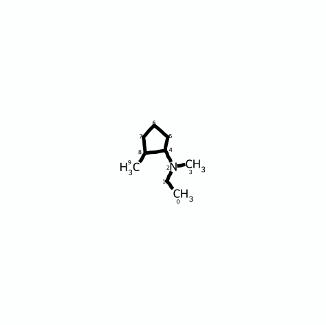 CCN(C)C1CCCC1C